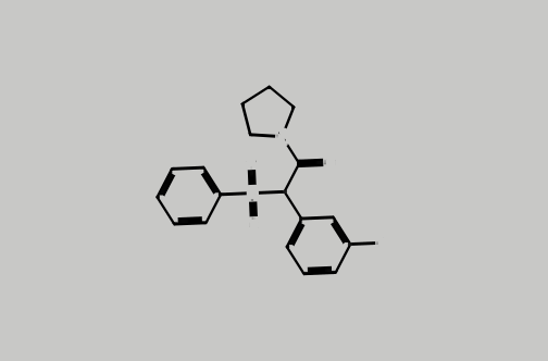 O=C(C(c1cccc(Cl)c1)S(=O)(=O)c1ccccc1)N1CCCC1